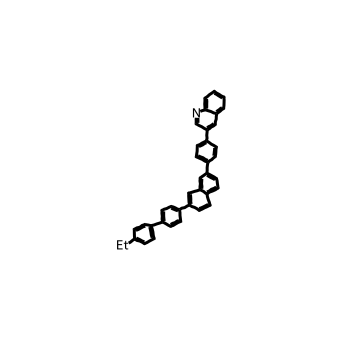 CCc1ccc(-c2ccc(-c3ccc4ccc(-c5ccc(-c6cnc7ccccc7c6)cc5)cc4c3)cc2)cc1